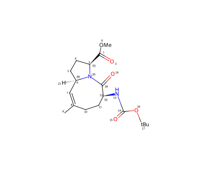 COC(=O)[C@@H]1CC[C@@H]2C=C(C)CC[C@H](NC(=O)OC(C)(C)C)C(=O)N21